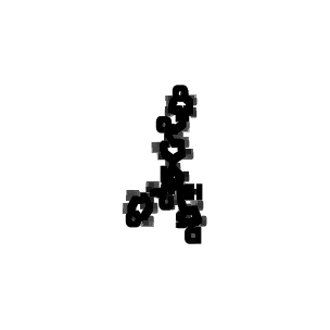 O=C(CN1CCOCC1)N1CCC(c2cc(NCc3ccc(Cl)s3)n(C(=O)CN3CCOCC3)n2)CC1